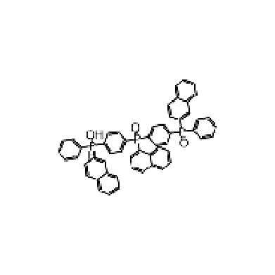 O=P(c1ccccc1)(c1ccc(P(=O)(c2ccc([PH](O)(c3ccccc3)c3ccc4ccccc4c3)cc2)c2cccc3ccccc23)cc1)c1ccc2ccccc2c1